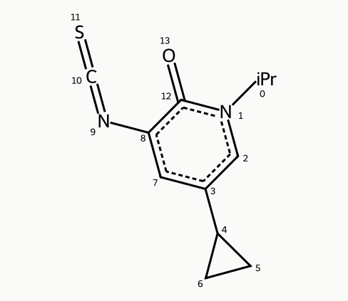 CC(C)n1cc(C2CC2)cc(N=C=S)c1=O